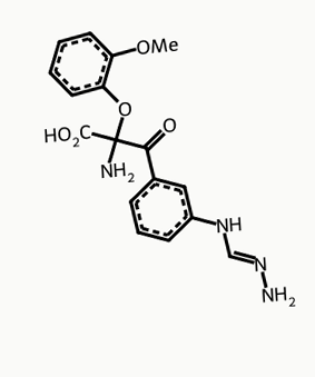 COc1ccccc1OC(N)(C(=O)O)C(=O)c1cccc(NC=NN)c1